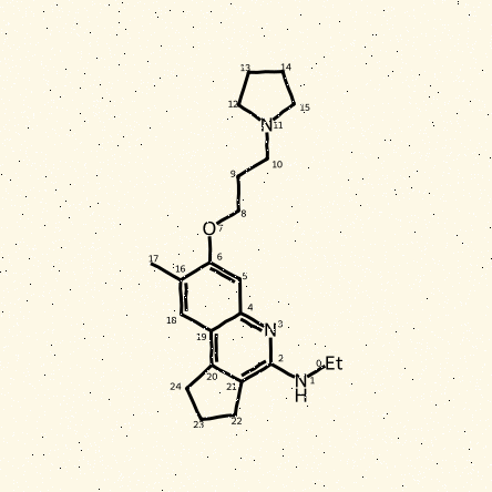 CCNc1nc2cc(OCCCN3CCCC3)c(C)cc2c2c1CCC2